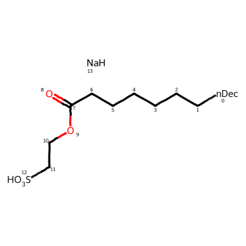 CCCCCCCCCCCCCCCCC(=O)OCCS(=O)(=O)O.[NaH]